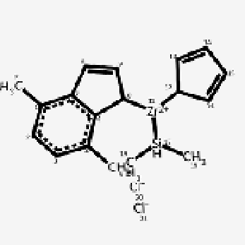 Cc1ccc(C)c2c1C=C[CH]2[Zr+2]([CH]1C=CC=C1)[SiH](C)C.[Cl-].[Cl-]